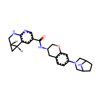 O=C(N[C@H]1COc2cc(N3CC4CCC(C3)N4)ccc2C1)c1cnc2c(c1)[C@@H]1C[C@@H]1CN2